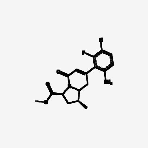 COC(=O)[C@@H]1C[C@H](C)C2CC(c3c(N)ccc(Cl)c3F)=CC(=O)N21